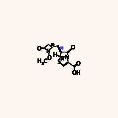 CON1C(=O)C[C@@H]1/C=C1/C(=O)N2C(C(=O)O)=CS[C@H]12